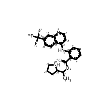 CC(OC(=O)c1ccccc1Nc1ccnc2cc(C(F)(F)F)ccc12)C1CCCN1